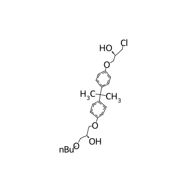 CCCCOC[C@H](O)COc1ccc(C(C)(C)c2ccc(OC[C@@H](O)CCl)cc2)cc1